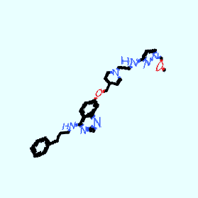 COCn1ccc(NCCN2CCC(COc3ccc4c(NCCCc5ccccc5)ncnc4c3)CC2)n1